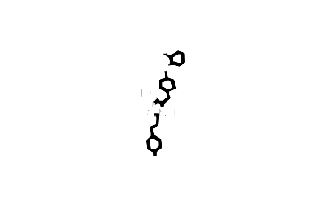 O=C(CCc1ccc(F)cc1)NC(=Cc1ccc(Oc2ccccc2Cl)cc1)C(=O)O